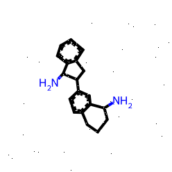 NC1CCCc2ccc(C3Cc4ccccc4C3N)cc21